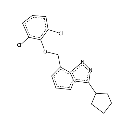 Clc1cccc(Cl)c1OCc1cccn2c(C3CCCC3)nnc12